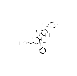 CC(C)CN(C(=O)C1N=C(Cl)N(c2ccccc2)C1CCCCO)[C@@H]1CNC[C@H](C(=O)N2CCOCC2)C1